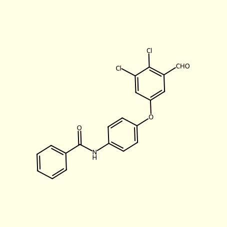 O=Cc1cc(Oc2ccc(NC(=O)c3ccccc3)cc2)cc(Cl)c1Cl